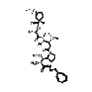 CC[C@H](C)[C@@H]([C@H](CC(=O)N1CCC[C@H]1[C@H](OC)[C@@H](C)C(=O)NCCC1C=CC=CC=C1)OC)N(C)C(=O)[C@@H](NC(=O)[C@@]1(F)CCN(C(=O)O)C1)C(C)C